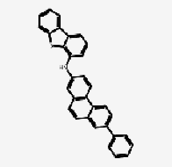 c1ccc(-c2ccc3c(ccc4cc(Nc5cccc6c5sc5ccccc56)ccc43)c2)cc1